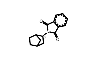 O=C1c2ccccc2C(=O)N1[C@H]1CC2CCC1C2